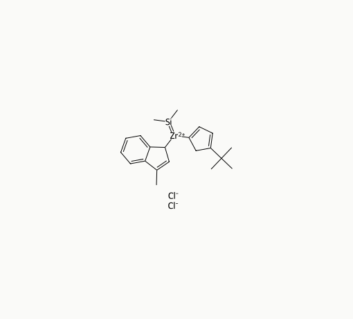 CC1=C[CH]([Zr+2]([C]2=CC=C(C(C)(C)C)C2)=[Si](C)C)c2ccccc21.[Cl-].[Cl-]